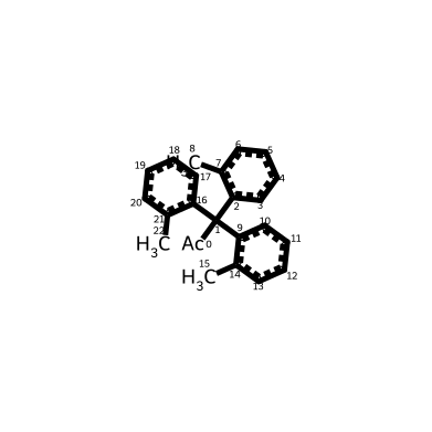 CC(=O)C(c1ccccc1C)(c1ccccc1C)c1ccccc1C